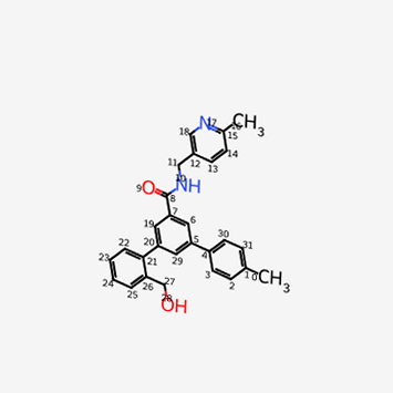 Cc1ccc(-c2cc(C(=O)NCc3ccc(C)nc3)cc(-c3ccccc3CO)c2)cc1